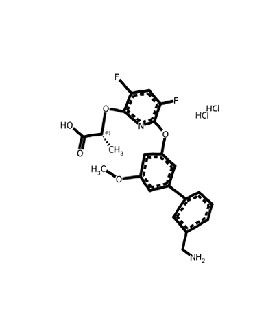 COc1cc(Oc2nc(O[C@H](C)C(=O)O)c(F)cc2F)cc(-c2cccc(CN)c2)c1.Cl.Cl